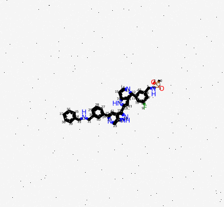 CS(=O)(=O)NCc1cc(F)cc(-c2nccc3[nH]c(-c4n[nH]c5cnc(-c6cc#cc(CNCc7ccccc7)c6)cc45)cc23)c1